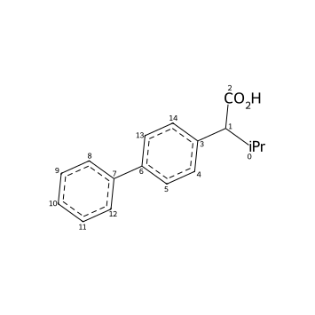 CC(C)C(C(=O)O)c1ccc(-c2ccccc2)cc1